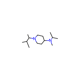 CC(C)C(C)N1CCC(N(C)C(C)C)CC1